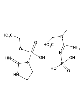 CN(CC(=O)O)C(N)=NP(=O)(O)O.N=C1NCCN1P(=O)(O)OCC(=O)O